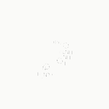 CC(C)(C)c1cccc(NC(=O)Nc2ccc(CCc3ccnc(C(N)=O)c3)cc2F)c1